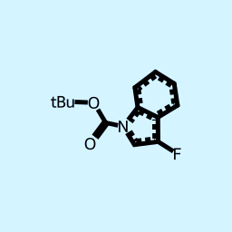 CC(C)(C)OC(=O)n1cc(F)c2ccccc21